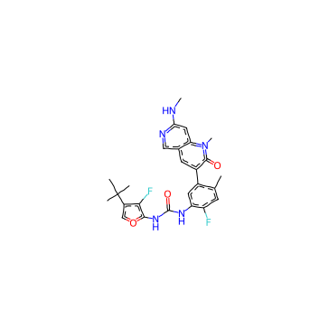 CNc1cc2c(cn1)cc(-c1cc(NC(=O)Nc3occ(C(C)(C)C)c3F)c(F)cc1C)c(=O)n2C